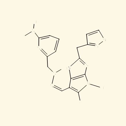 Cc1c(/C=N\N(C=O)Cc2cccc(N(C)C)n2)c2sc(Cc3cc[nH]n3)nc2n1C